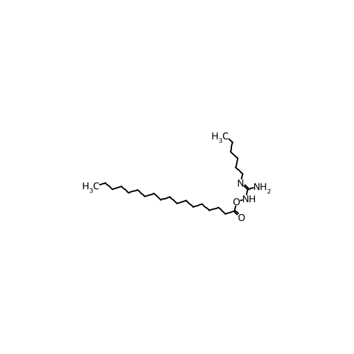 CCCCCCCCCCCCCCCCCC(=O)ONC(N)=NCCCCCC